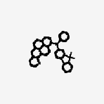 CC1(C)c2ccccc2-c2ccc(N(c3ccccc3)c3ccc4ccc5cc6cccnc6c6ccc3c4c56)cc21